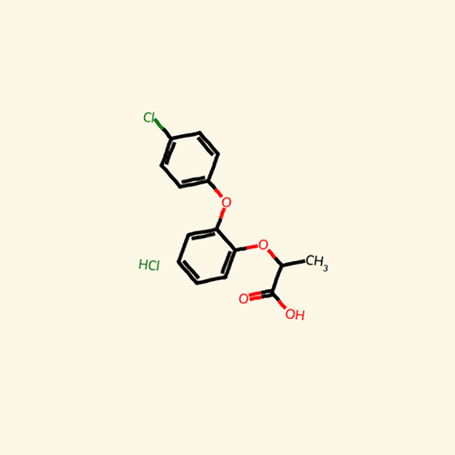 CC(Oc1ccccc1Oc1ccc(Cl)cc1)C(=O)O.Cl